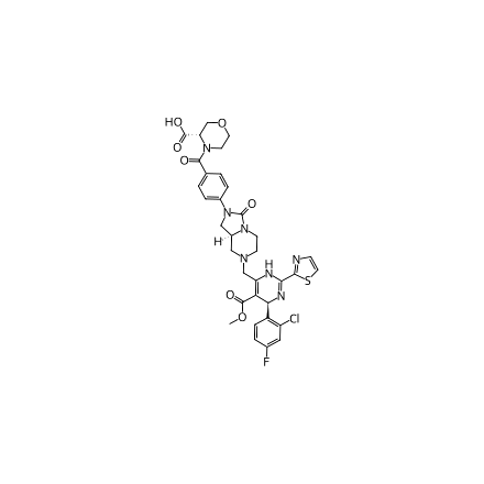 COC(=O)C1=C(CN2CCN3C(=O)N(c4ccc(C(=O)N5CCOC[C@H]5C(=O)O)cc4)C[C@@H]3C2)NC(c2nccs2)=N[C@H]1c1ccc(F)cc1Cl